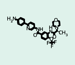 C[C@H](C(=O)Nc1cc(C(=O)Nc2ccc(-c3ccc(N)cc3)nc2)ccc1OC(F)(F)F)N1CCOCC1